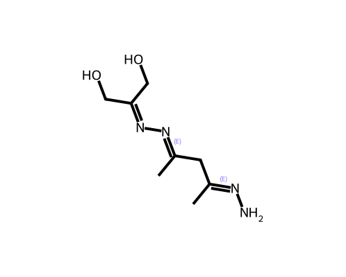 C/C(C/C(C)=N/N=C(CO)CO)=N\N